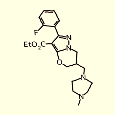 CCOC(=O)c1c(-c2ccccc2F)nn2c1OCC(CN1CCN(C)CC1)C2